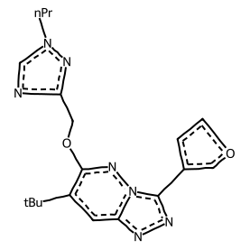 CCCn1cnc(COc2nn3c(-c4ccoc4)nnc3cc2C(C)(C)C)n1